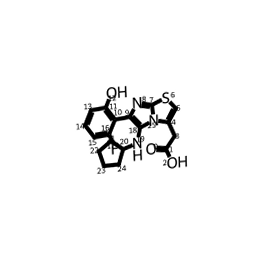 O=C(O)Cc1csc2nc(-c3c(O)cccc3F)c(NC3CCCC3)n12